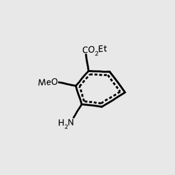 CCOC(=O)c1cccc(N)c1OC